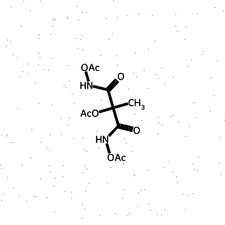 CC(=O)ONC(=O)C(C)(OC(C)=O)C(=O)NOC(C)=O